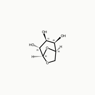 O[C@H]1[C@@H](O)[C@H]2CO[C@H](O2)[C@@H]1O